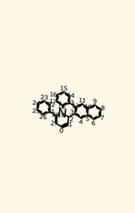 C1#CC2c3cc4ccccc4cc3-c3ccccc3N2C(c2ccccc2)=C1